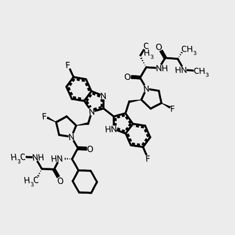 CC[C@H](NC(=O)[C@H](C)NC)C(=O)N1C[C@@H](F)C[C@H]1Cc1c(-c2nc3cc(F)ccc3n2C[C@@H]2C[C@H](F)CN2C(=O)[C@@H](NC(=O)[C@H](C)NC)C2CCCCC2)[nH]c2cc(F)ccc12